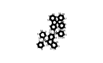 C1=CC(N(c2ccccc2)c2cc3ccccc3c3cc(N(c4ccccc4)c4ccc5c(c4)C(c4ccccc4)(c4ccccc4)c4ccccc4-5)ccc23)=CCC1